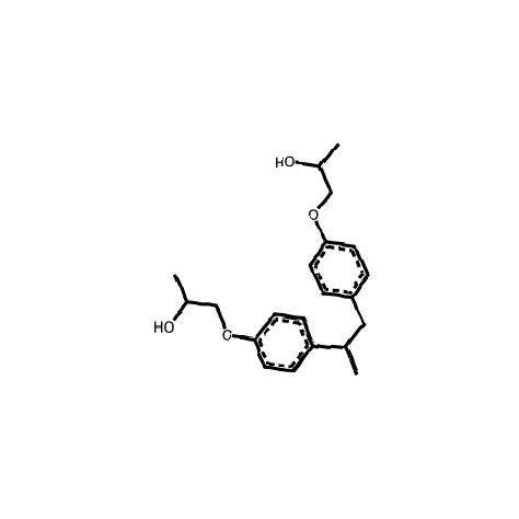 CC(O)COc1ccc(CC(C)c2ccc(OCC(C)O)cc2)cc1